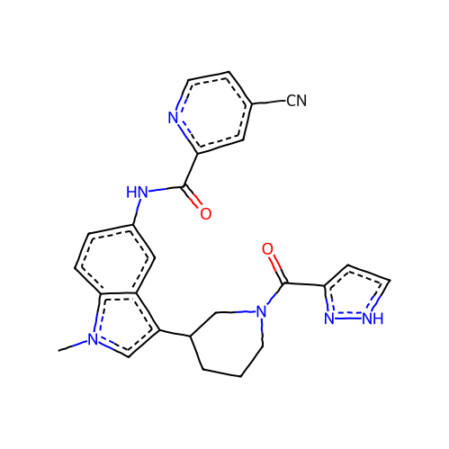 Cn1cc(C2CCCN(C(=O)c3cc[nH]n3)C2)c2cc(NC(=O)c3cc(C#N)ccn3)ccc21